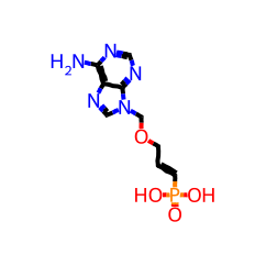 Nc1ncnc2c1ncn2COC/C=C/P(=O)(O)O